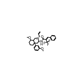 C=CCN1CC2C(OC)CCC[C@@]2(c2cccc(OC)c2)C[C@H]1NC(=O)C(=Cc1ccccc1)C(F)(F)F